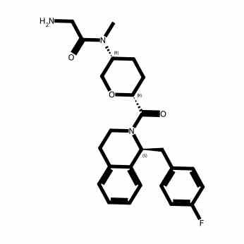 CN(C(=O)CN)[C@@H]1CC[C@H](C(=O)N2CCc3ccccc3[C@@H]2Cc2ccc(F)cc2)OC1